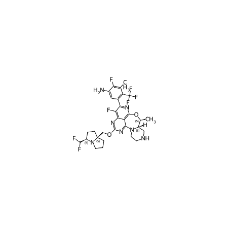 Cc1c(F)c(N)cc(-c2nc3c4c(nc(OC[C@@]56CCCN5[C@@H](C(F)F)CC6)nc4c2F)N2CCNC[C@H]2[C@H](C)O3)c1C(F)(F)F